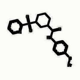 CC(C)Oc1ccc(NC(=O)C2CCCC(S(=O)(=O)c3ccccn3)C2)cc1